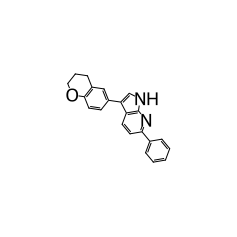 c1ccc(-c2ccc3c(-c4ccc5c(c4)CCCO5)c[nH]c3n2)cc1